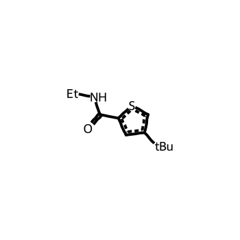 CCNC(=O)c1cc(C(C)(C)C)cs1